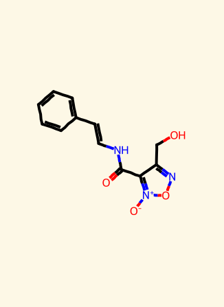 O=C(NC=Cc1ccccc1)c1c(CO)no[n+]1[O-]